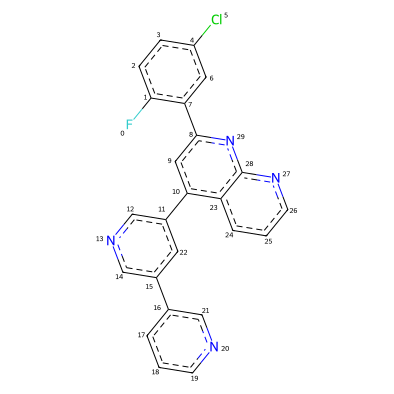 Fc1ccc(Cl)cc1-c1cc(-c2cncc(-c3cccnc3)c2)c2cccnc2n1